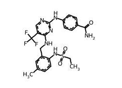 CCS(=O)(=O)Nc1ccc(C)cc1CNc1nc(Nc2ccc(C(N)=O)cc2)ncc1C(F)(F)F